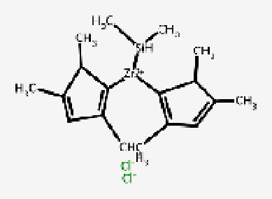 CC1=CC(C)=[C]([Zr+2]([C]2=C(C)C=C(C)C2C)[SiH](C)C)C1C.[Cl-].[Cl-]